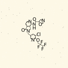 O=C(Nc1nccc2c1CN(Cc1cnc(OCC(F)(F)C(F)F)c(Cl)c1)C2=O)c1cnco1